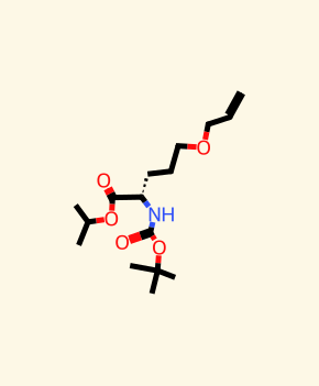 C=CCOCCC[C@H](NC(=O)OC(C)(C)C)C(=O)OC(C)C